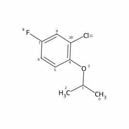 CC(C)Oc1ccc(F)cc1Cl